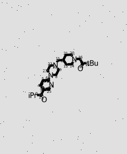 CC(C)C(=O)c1ccc(N2CCN(CC3CCN(CC(=O)C(C)(C)C)CC3)CC2)nc1